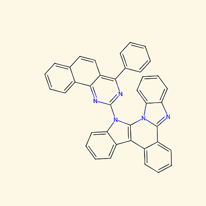 c1ccc(-c2nc(-n3c4ccccc4c4c5ccccc5c5nc6ccccc6n5c43)nc3c2ccc2ccccc23)cc1